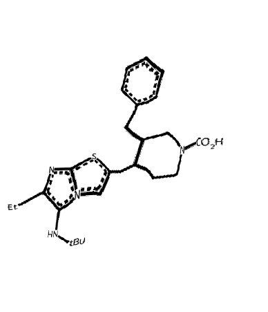 CCc1nc2sc(C3CCN(C(=O)O)CC3Cc3ccccc3)cn2c1NC(C)(C)C